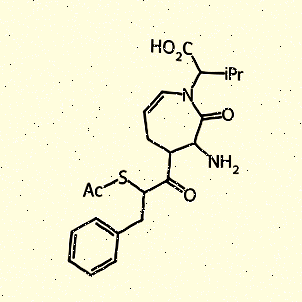 CC(=O)SC(Cc1ccccc1)C(=O)C1CC=CN(C(C(=O)O)C(C)C)C(=O)C1N